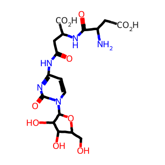 NC(CC(=O)O)C(=O)NC(CC(=O)Nc1ccn(C2OC(CO)C(O)C2O)c(=O)n1)C(=O)O